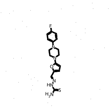 NC(=S)N/N=C/c1ccc(N2CCN(c3ccc(F)cc3)CC2)o1